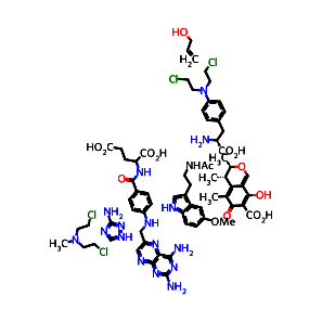 C=CCO.CC1=C2C(=CO[C@H](C)[C@H]2C)C(O)=C(C(=O)O)C1=O.CN(CCCl)CCCl.COc1ccc2[nH]cc(CCNC(C)=O)c2c1.N[C@@H](Cc1ccc(N(CCCl)CCCl)cc1)C(=O)O.Nc1nc(N)c2nc(CNc3ccc(C(=O)NC(CCC(=O)O)C(=O)O)cc3)cnc2n1.Nc1nc[nH]n1